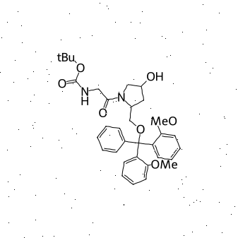 COc1ccccc1C(OCC1CC(O)CN1C(=O)CNC(=O)OC(C)(C)C)(c1ccccc1)c1ccccc1OC